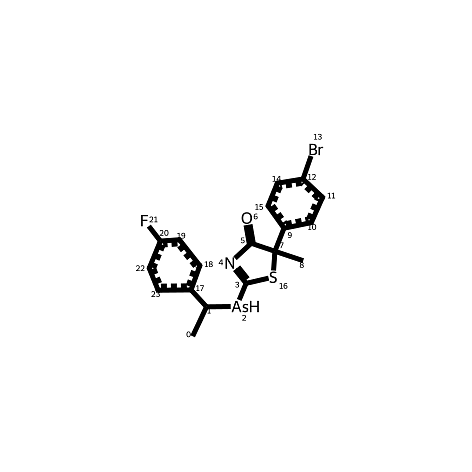 CC([AsH]C1=NC(=O)C(C)(c2ccc(Br)cc2)S1)c1ccc(F)cc1